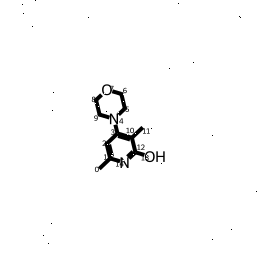 Cc1cc(N2CCOCC2)c(C)c(O)n1